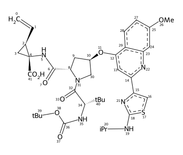 C=C[C@@H]1C[C@]1(NC(=O)[C@@H]1C[C@@H](Oc2cc(-c3csc(NC(C)C)n3)nc3cc(OC)ccc23)CN1C(=O)[C@@H](NC(=O)OC(C)(C)C)C(C)(C)C)C(=O)O